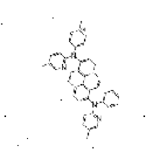 C=Cc1c(N(c2ccccc2)c2ccc(C)cn2)ccc2ccc3c(c12)C(C)CC=C3N(C1=CC[C@H](C)C=C1)c1ccc(C)cn1